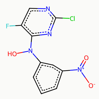 O=[N+]([O-])c1cccc(N(O)c2nc(Cl)ncc2F)c1